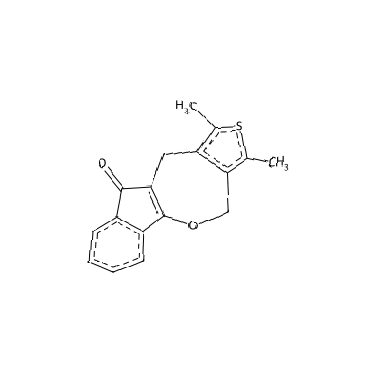 Cc1sc(C)c2c1COC1=C(C2)C(=O)c2ccccc21